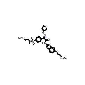 CNCCOc1ccc2nc(NC(=O)/C(=N/O[C@@H]3CCOC3)c3ccc(S(=O)(=O)N(C)CCOC)cc3)sc2n1